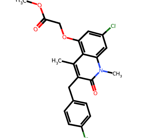 COC(=O)COc1cc(Cl)cc2c1c(C)c(Cc1ccc(Cl)cc1)c(=O)n2C